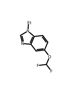 CCn1cnc2cc(OC(F)F)ccc21